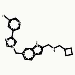 Clc1cncc(-c2cn(Cc3ccc4cc(CNCC5CCC5)[nH]c4c3)nn2)c1